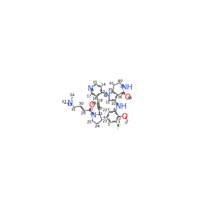 COc1c(F)cccc1Nc1cn(-c2ccncc2C#C[C@@]2(C)CCCN2C(=O)/C=C/CN(C)C)c2c1C(=O)NCC2